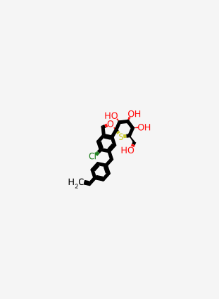 C=Cc1ccc(Cc2cc3c(cc2Cl)CO[C@]32S[C@H](CO)[C@@H](O)[C@H](O)[C@H]2O)cc1